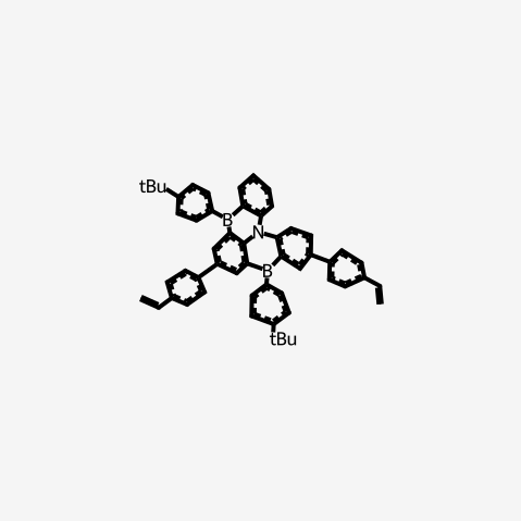 C=Cc1ccc(-c2ccc3c(c2)B(c2ccc(C(C)(C)C)cc2)c2cc(-c4ccc(C=C)cc4)cc4c2N3c2ccccc2B4c2ccc(C(C)(C)C)cc2)cc1